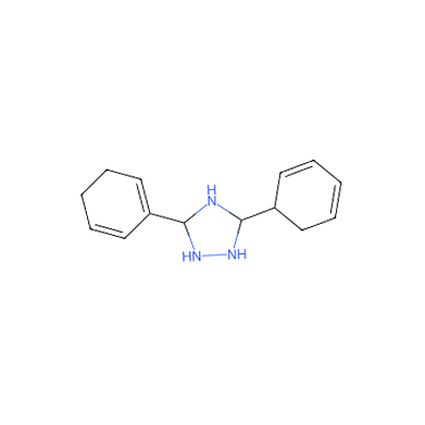 C1=CCC(C2NNC(C3=CCCC=C3)N2)C=C1